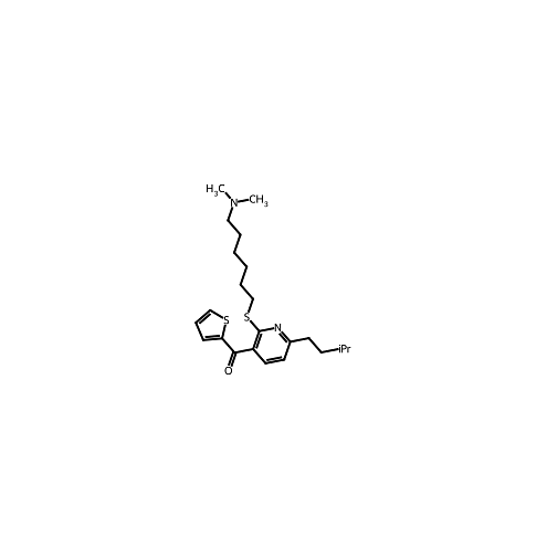 CC(C)CCc1ccc(C(=O)c2cccs2)c(SCCCCCCN(C)C)n1